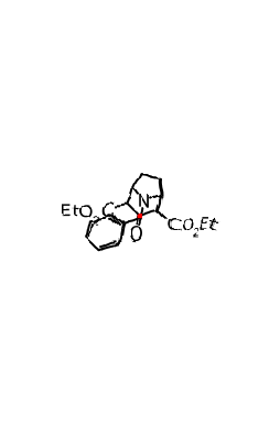 CCOC(=O)C1C(=O)C(C(=O)OCC)C2CCC1N2Cc1ccccc1